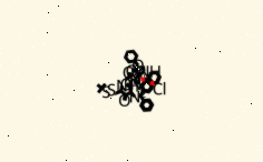 CN[C@](CC1=CC=CCC1)(C(=O)OC1CCCCC1)N(C(C)=O)N1C(=O)C(C(=O)C(N)CSSC(C)(C)C)N=C(c2ccccc2)c2cc(Cl)ccc21